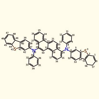 C1=Cc2sc3cc(N(c4ccccc4)c4cccc5c4ccc4c6ccccc6c(N(c6ccccc6)c6ccc7c(c6)sc6ccccc67)cc54)ccc3c2CC1